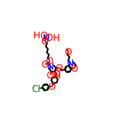 COCCCN1CCOc2ccc(COC3CN(C(=O)OCCCCCCON(O)O)CC(O)C3OC3CCC(Oc4ccc(Cl)cc4)CC3)cc21